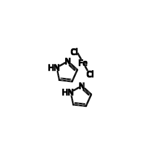 [Cl][Fe][Cl].c1cn[nH]c1.c1cn[nH]c1